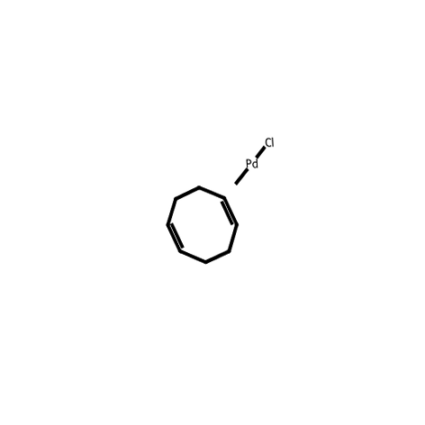 C1=C\CC/C=C\CC/1.[CH3][Pd][Cl]